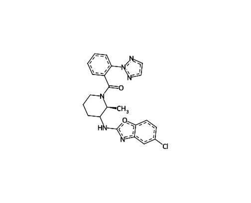 C[C@H]1C(Nc2nc3cc(Cl)ccc3o2)CCCN1C(=O)c1ccccc1-n1nccn1